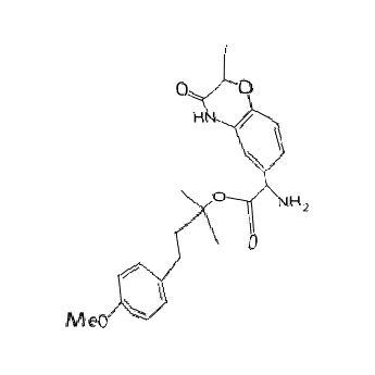 COc1ccc(CCC(C)(C)OC(=O)C(N)c2ccc3c(c2)NC(=O)C(C)O3)cc1